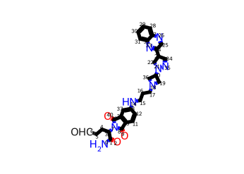 NC(=O)C(CCC=O)N1C(=O)c2ccc(NCCCN3CC(N4CC(c5cnc6ccccc6n5)C=N4)C3)cc2C1=O